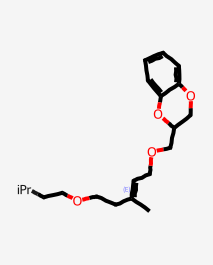 C/C(=C\COCC1COc2ccccc2O1)CCOCCC(C)C